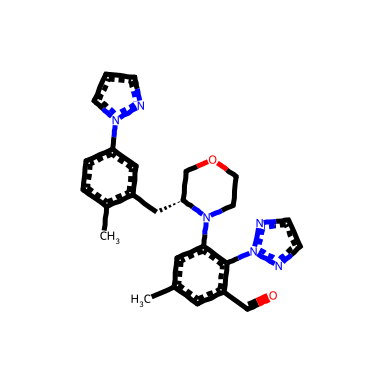 Cc1cc(C=O)c(-n2nccn2)c(N2CCOC[C@H]2Cc2cc(-n3cccn3)ccc2C)c1